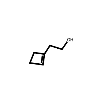 OCCC1=CCC1